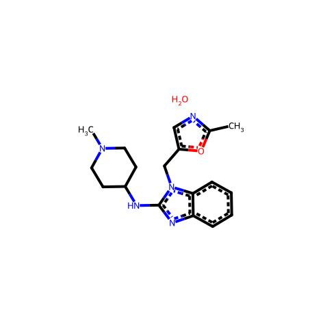 Cc1ncc(Cn2c(NC3CCN(C)CC3)nc3ccccc32)o1.O